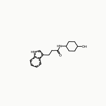 O=C(CCc1c[nH]c2ccccc12)NC1CCC(O)CC1